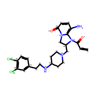 C=CC(=O)N1c2c(N)ccc(=O)n2CC1CN1CCC(NCCc2ccc(Cl)c(Cl)c2)CC1